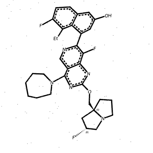 CCc1c(F)ccc2cc(O)cc(-c3ncc4c(N5CCCCCC5)nc(OC[C@@]56CCCN5C[C@H](F)C6)nc4c3F)c12